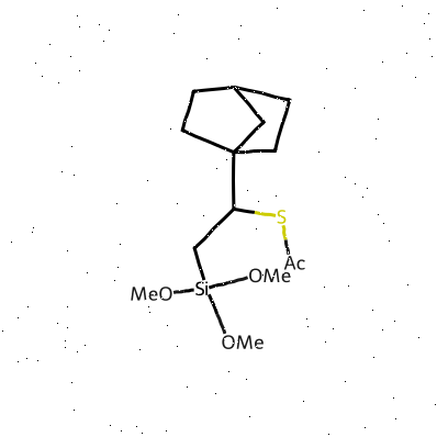 CO[Si](CC(SC(C)=O)C12CCC(CC1)C2)(OC)OC